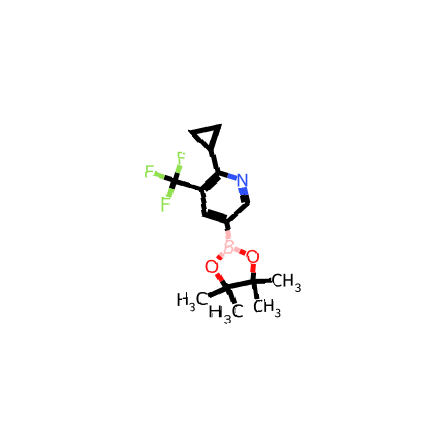 CC1(C)OB(c2cnc(C3CC3)c(C(F)(F)F)c2)OC1(C)C